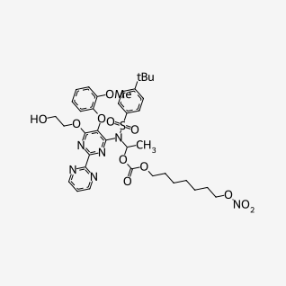 COc1ccccc1Oc1c(OCCO)nc(-c2ncccn2)nc1N(C(C)OC(=O)OCCCCCCCO[N+](=O)[O-])S(=O)(=O)c1ccc(C(C)(C)C)cc1